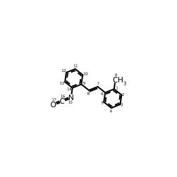 Cc1ccccc1C=Cc1ccccc1N=C=O